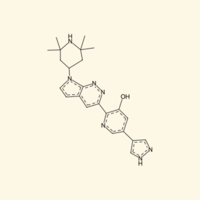 CC1(C)CC(n2ccc3cc(-c4ncc(-c5cn[nH]c5)cc4O)nnc32)CC(C)(C)N1